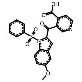 COc1ccc2c(c1)cc(C(=O)c1cnccc1C(=O)O)n2S(=O)(=O)c1ccccc1